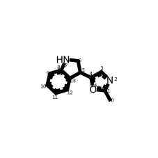 Cc1ncc(C2CNc3ccccc32)o1